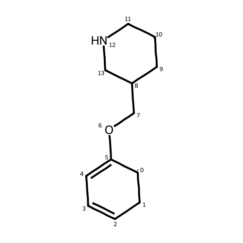 [CH]1CC=CC=C1OCC1CCCNC1